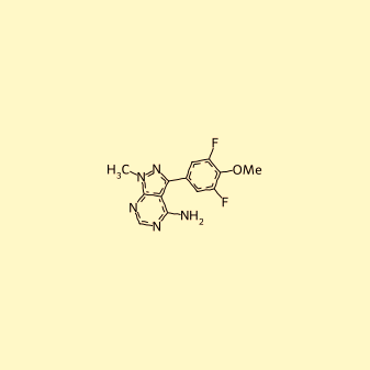 COc1c(F)cc(-c2nn(C)c3ncnc(N)c23)cc1F